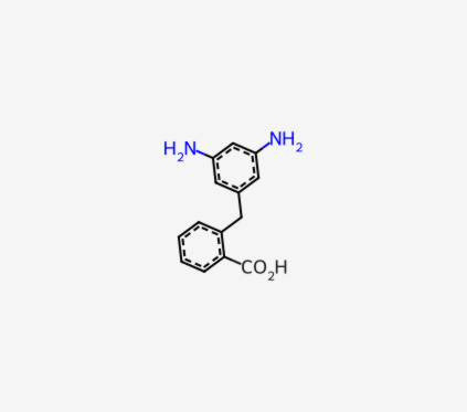 Nc1cc(N)cc(Cc2ccccc2C(=O)O)c1